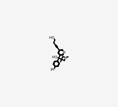 CC(C)c1ccc([C@](O)(c2cncc(C#CCCO)c2)C2(C)CN(C)C2)cc1